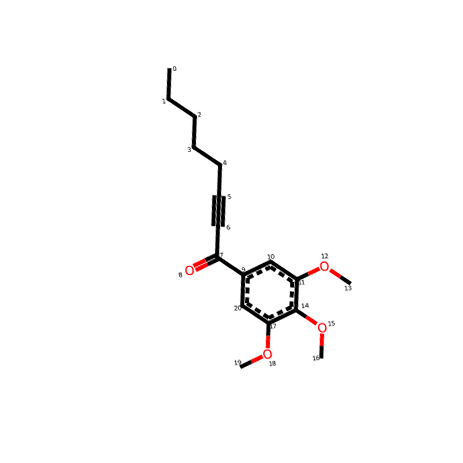 CCCCCC#CC(=O)c1cc(OC)c(OC)c(OC)c1